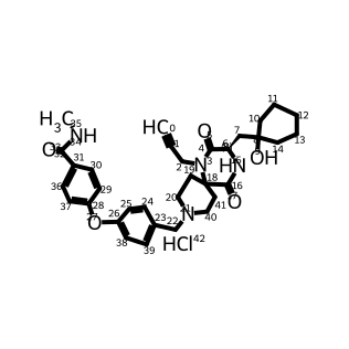 C#CCN1C(=O)[C@@H](CC2(O)CCCCC2)NC(=O)C12CCN(Cc1ccc(Oc3ccc(C(=O)NC)cc3)cc1)CC2.Cl